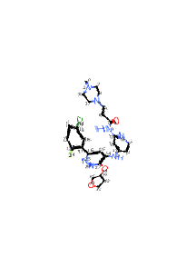 CN1CCN(CCC(=O)Nc2cc(Nc3cc(-c4cc(Cl)ccc4F)nnc3OC3CCOC3)ccn2)CC1